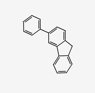 [c]1ccc(-c2ccc3c(c2)-c2ccccc2C3)cc1